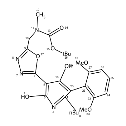 CCCCc1nc(O)c(-c2nnc(CN(C)C(=O)OC(C)(C)C)o2)c(O)c1-c1c(OC)cccc1OC